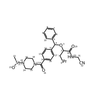 CC(C)CC(OC(c1ccccc1)c1ccc(C(=O)N2CCN([S+](C)[O-])CC2)cc1)C(=O)NCC#N